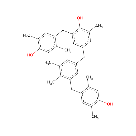 Cc1cc(Cc2cc(Cc3cc(C)c(O)c(Cc4cc(C)c(O)cc4C)c3)cc(C)c2C)c(C)cc1O